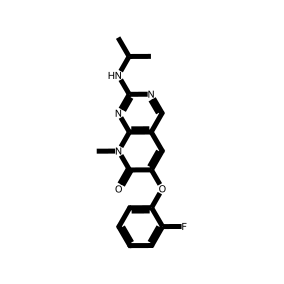 CC(C)Nc1ncc2cc(Oc3ccccc3F)c(=O)n(C)c2n1